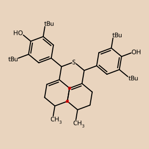 CC1CC=C(C(SC(C2=CCC(C)CC2)c2cc(C(C)(C)C)c(O)c(C(C)(C)C)c2)c2cc(C(C)(C)C)c(O)c(C(C)(C)C)c2)CC1